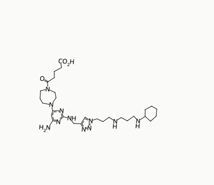 Nc1cc(N2CCCN(C(=O)CCCC(=O)O)CC2)nc(NCc2cn(CCCNCCCNC3CCCCC3)nn2)n1